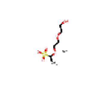 CC(OCCOCCO)S(=O)(=O)[O-].[Na+]